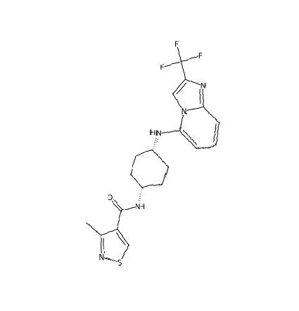 Cc1nscc1C(=O)N[C@H]1CC[C@@H](Nc2cccc3nc(C(F)(F)F)cn23)CC1